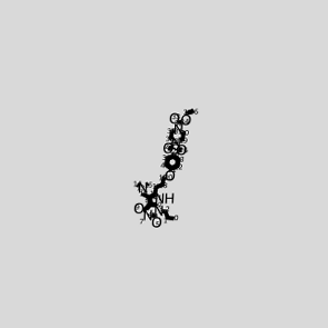 CCCn1c(=O)n(C)c(=O)c2c(CN(C)C)c(CCCOc3ccc(S(=O)(=O)N4CCN(C(=O)OCC)CC4)cc3)[nH]c21